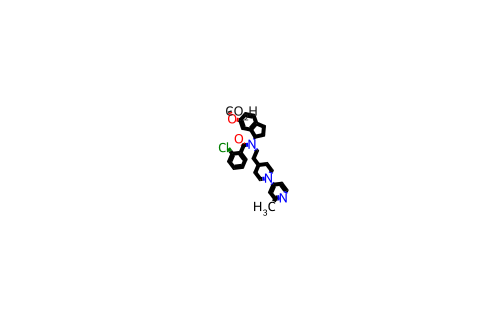 Cc1cc(N2CCC(CCN(C(=O)c3ccccc3Cl)[C@@H]3CCc4ccc(OC(=O)O)cc43)CC2)ccn1